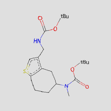 CN(C(=O)OC(C)(C)C)C1CCc2scc(CNC(=O)OC(C)(C)C)c2C1